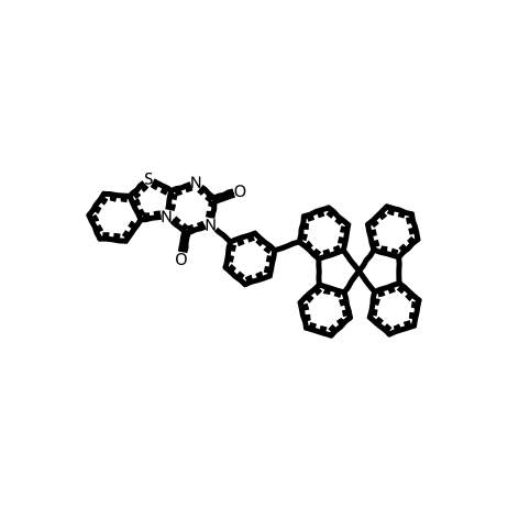 O=c1nc2sc3ccccc3n2c(=O)n1-c1cccc(-c2cccc3c2-c2ccccc2C32c3ccccc3-c3ccccc32)c1